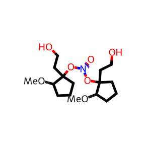 COC1CCCC1(CCO)O[N+](=O)OC1(CCO)CCCC1OC